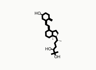 C=C1CC[C@H](O)C/C1=C/C=C1CCC[C@@]2(C)C1CC[C@@H]2[C@H](C)CC[C@H](O)C(C)(C)O